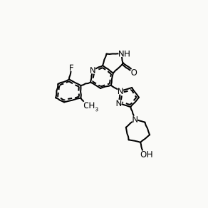 Cc1cccc(F)c1-c1cc(-n2ccc(N3CCC(O)CC3)n2)c2c(n1)CNC2=O